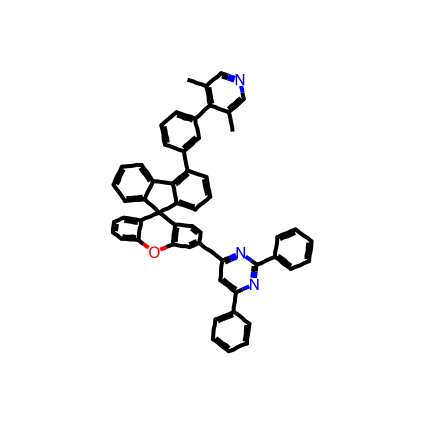 Cc1cncc(C)c1-c1cccc(-c2cccc3c2-c2ccccc2C32c3ccccc3Oc3cc(-c4cc(-c5ccccc5)nc(-c5ccccc5)n4)ccc32)c1